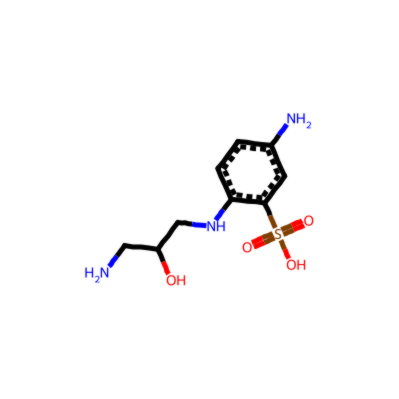 NCC(O)CNc1ccc(N)cc1S(=O)(=O)O